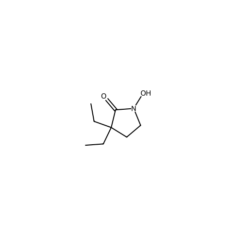 CCC1(CC)CCN(O)C1=O